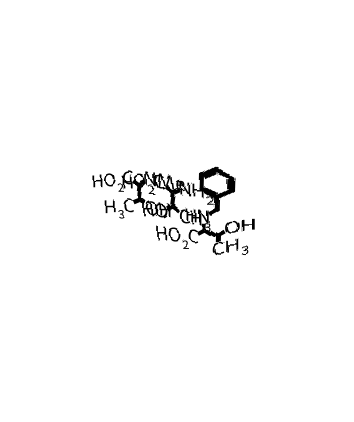 CC(O)C(N)C(=O)O.CC(O)C(NCc1ccccc1)C(=O)O.CNC(C(=O)O)C(C)O